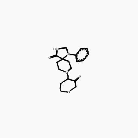 O=C1COCCC1N1CCC2(CC1)C(=O)NCN2c1ccccc1